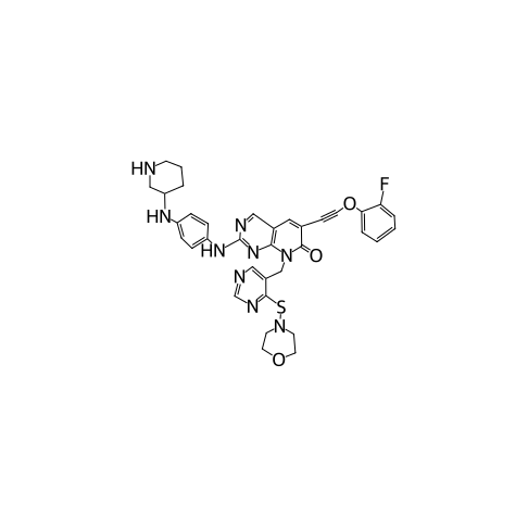 O=c1c(C#COc2ccccc2F)cc2cnc(Nc3ccc(NC4CCCNC4)cc3)nc2n1Cc1cncnc1SN1CCOCC1